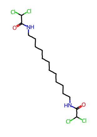 O=C(NCCCCCCCCCCCCNC(=O)C(Cl)Cl)C(Cl)Cl